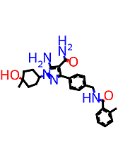 Cc1ccccc1C(=O)NCc1ccc(-c2nn(C3CCC(C)(O)CC3)c(N)c2C(N)=O)cc1